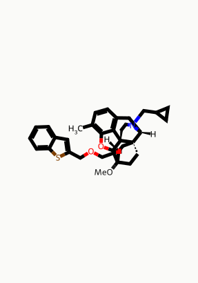 COC12CC[C@@]3(C[C@H]1COCc1cc4ccccc4s1)[C@H]1Cc4ccc(C)c5c4[C@@]3(CCN1CC1CC1)[C@H]2O5